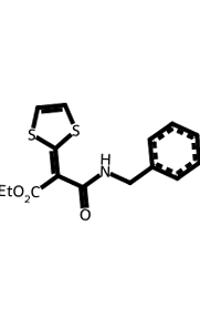 CCOC(=O)C(C(=O)NCc1ccccc1)=C1SC=CS1